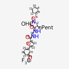 CCCCCC(CN(C=O)OCc1ccccc1)C(=O)NCNC(=O)c1ccc(-c2cccc(OC(F)(F)F)c2)o1